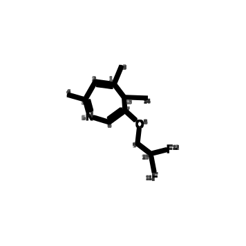 CC1=CC(C)=NC=C(OCC(F)F)C1C